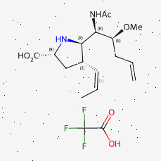 C=CC[C@H](OC)[C@H](NC(C)=O)[C@@H]1N[C@@H](C(=O)O)C[C@H]1/C=C\C.O=C(O)C(F)(F)F